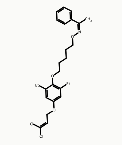 CCc1cc(OCC=C(Cl)Cl)cc(CC)c1OCCCCCON=C(C)c1ccccc1